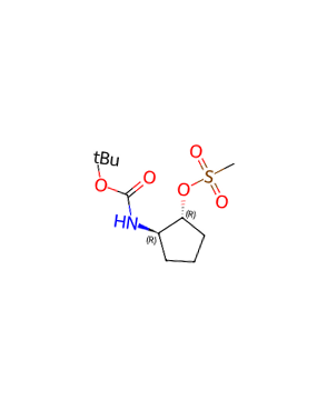 CC(C)(C)OC(=O)N[C@@H]1CCC[C@H]1OS(C)(=O)=O